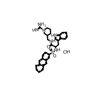 Cl.N=C(N)N1CCCC(CNC(=O)C(Cc2c[nH]c3ccccc23)NS(=O)(=O)c2ccc3cc4ccccc4cc3c2)C1